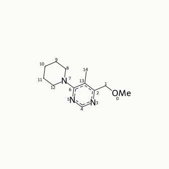 COCc1ncnc(N2CCCCC2)c1C